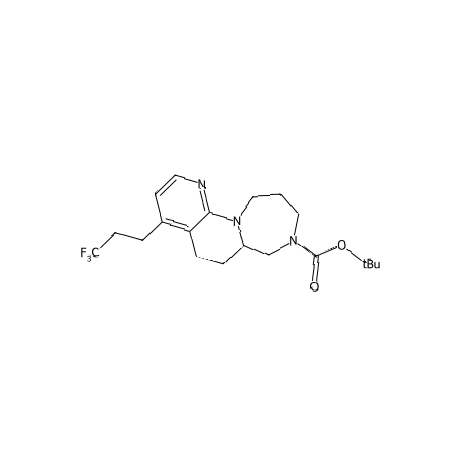 CC(C)(C)OC(=O)N1CCCN2c3nccc(CCC(F)(F)F)c3CCC2C1